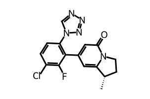 C[C@H]1CCn2c1cc(-c1c(-n3cnnn3)ccc(Cl)c1F)cc2=O